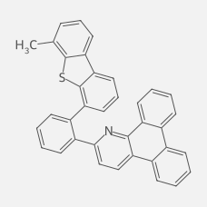 Cc1cccc2c1sc1c(-c3ccccc3-c3ccc4c5ccccc5c5ccccc5c4n3)cccc12